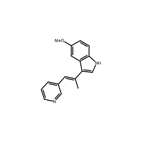 COc1ccc2[nH]cc(C(C)=Cc3cccnc3)c2c1